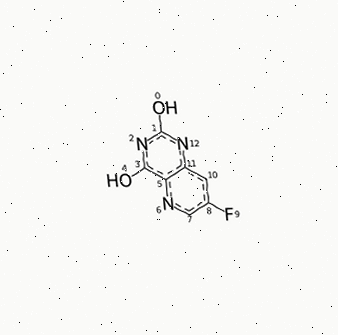 Oc1nc(O)c2ncc(F)cc2n1